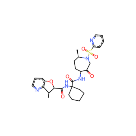 CC1c2ncccc2OC1C(=O)NC1(C(=O)N[C@H]2CC[C@@H](C)N(S(=O)(=O)c3ccccn3)CC2=O)CCCCC1